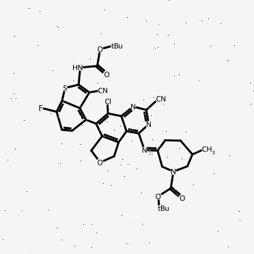 CC1CC/C(=N\c2nc(C#N)nc3c(Cl)c(-c4ccc(F)c5sc(NC(=O)OC(C)(C)C)c(C#N)c45)c4c(c23)COC4)CN(C(=O)OC(C)(C)C)C1